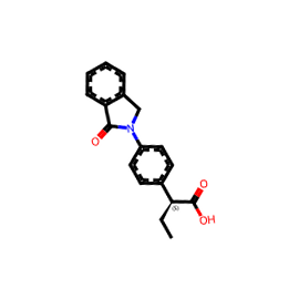 CC[C@H](C(=O)O)c1ccc(N2Cc3ccccc3C2=O)cc1